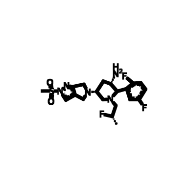 C[C@H](F)CN1C[C@H](N2Cc3cn(S(C)(=O)=O)nc3C2)C[C@H](N)C1c1cc(F)ccc1F